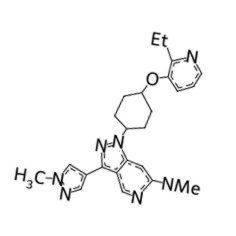 CCc1ncccc1OC1CCC(n2nc(-c3cnn(C)c3)c3cnc(NC)cc32)CC1